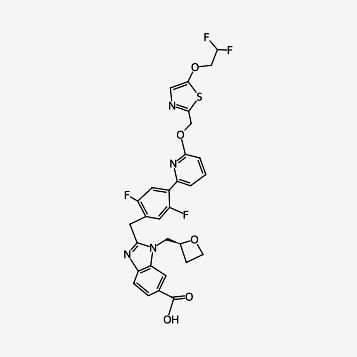 O=C(O)c1ccc2nc(Cc3cc(F)c(-c4cccc(OCc5ncc(OCC(F)F)s5)n4)cc3F)n(C[C@@H]3CCO3)c2c1